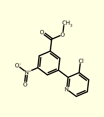 COC(=O)c1cc(-c2ncccc2Cl)cc([N+](=O)[O-])c1